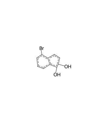 Oc1ccc2c(Br)cccc2c1O